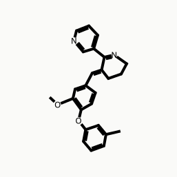 COc1cc(C=C2CCCN=C2c2cccnc2)ccc1Oc1cccc(C)c1